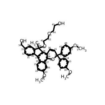 COc1ccc(C2(c3ccc(OC)cc3)C=Cc3c4c(c5ccc(OC)cc5c3O2)-c2ccc(CO)cc2C4(C)OCCOCCO)cc1